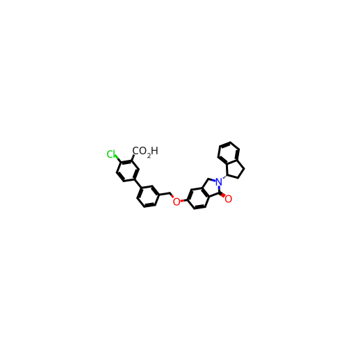 O=C(O)c1cc(-c2cccc(COc3ccc4c(c3)CN([C@H]3CCc5ccccc53)C4=O)c2)ccc1Cl